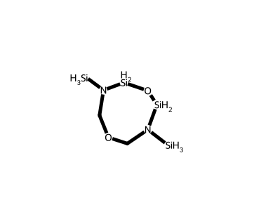 [SiH3]N1COCN([SiH3])[SiH2]O[SiH2]1